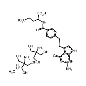 NC(CO)(CO)CO.NC(CO)(CO)CO.Nc1nc(=O)c2c(CCc3ccc(C(=O)N[C@@H](CCC(=O)O)C(=O)O)cc3)c[nH]c2[nH]1.O.O